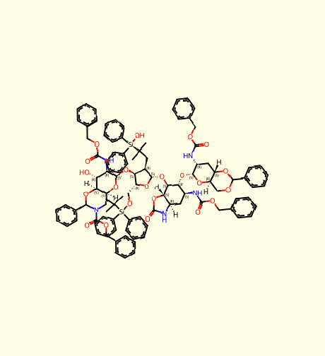 CC(C)(C[C@H]1[C@H](O[C@@H]2[C@H]3OC(=O)N[C@@H]3C[C@H](NC(=O)OCc3ccccc3)[C@H]2O[C@H]2O[C@@H]3COC(c4ccccc4)O[C@H]3C[C@H]2NC(=O)OCc2ccccc2)O[C@H](CO[Si](c2ccccc2)(c2ccccc2)C(C)(C)C)[C@H]1O[C@H]1O[C@H]2CN(C(=O)OCc3ccccc3)C(c3ccccc3)O[C@H]2[C@H](O)[C@H]1NC(=O)OCc1ccccc1)[Si](O)(c1ccccc1)c1ccccc1